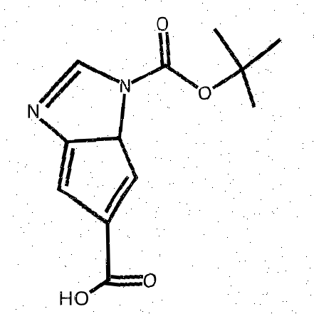 CC(C)(C)OC(=O)N1C=NC2=CC(C(=O)O)=CC21